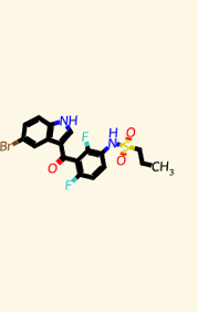 CCCS(=O)(=O)Nc1ccc(F)c(C(=O)c2c[nH]c3ccc(Br)cc23)c1F